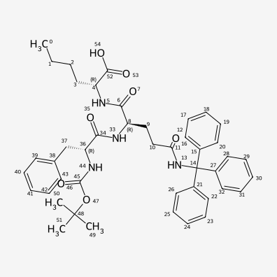 CCCC[C@@H](NC(=O)[C@@H](CCC(=O)NC(c1ccccc1)(c1ccccc1)c1ccccc1)NC(=O)[C@@H](Cc1ccccc1)NC(=O)OC(C)(C)C)C(=O)O